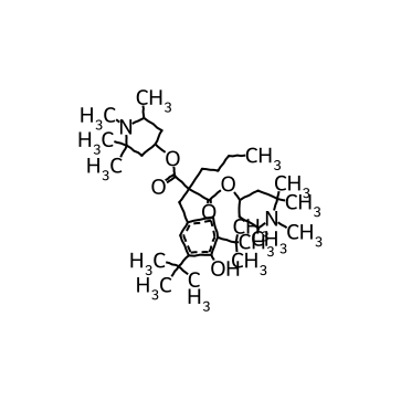 CCCCC(Cc1cc(C(C)(C)C)c(O)c(C(C)(C)C)c1)(C(=O)OC1CC(C)N(C)C(C)(C)C1)C(=O)OC1CC(C)N(C)C(C)(C)C1